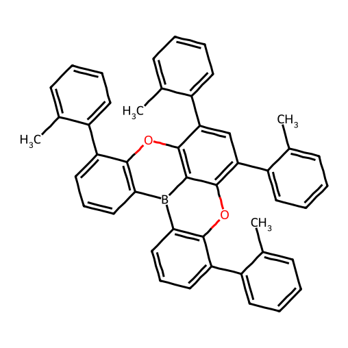 Cc1ccccc1-c1cccc2c1Oc1c(-c3ccccc3C)cc(-c3ccccc3C)c3c1B2c1cccc(-c2ccccc2C)c1O3